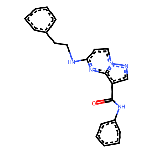 O=C(Nc1ccccc1)c1cnn2ccc(NCCc3ccccc3)nc12